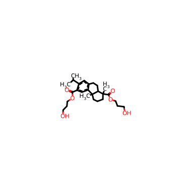 CC(C)c1cc2c(cc1C(=O)OCCCO)C1(C)CCCC(C)(C(=O)OCCCO)C1CC2